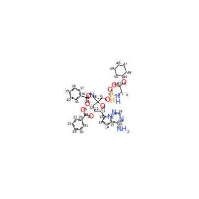 C[C@H](N[PH](=O)OC[C@@]1(C#N)O[C@@H](c2ccc3c(N)ncnn23)[C@H](OC(=O)c2ccccc2)[C@@H]1OC(=O)c1ccccc1)C(=O)OC1CCCCC1